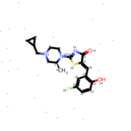 C[C@H]1CN(CC2CC2)CCN1C1=NC(=O)/C(=C/c2cc(F)ccc2O)S1